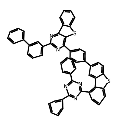 c1ccc(-c2cccc(-c3nc(-c4ccc(-c5ccc6sc7cccc(-c8nc(-c9ccccc9)nc(-c9ccccc9)n8)c7c6c5)cc4)c4sc5ccccc5c4n3)c2)cc1